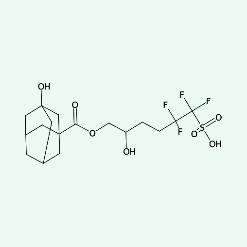 O=C(OCC(O)CCC(F)(F)C(F)(F)S(=O)(=O)O)C12CC3CC(CC(O)(C3)C1)C2